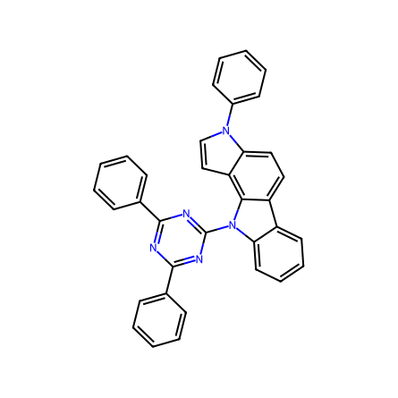 c1ccc(-c2nc(-c3ccccc3)nc(-n3c4ccccc4c4ccc5c(ccn5-c5ccccc5)c43)n2)cc1